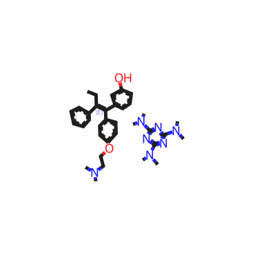 CC/C(=C(/c1ccc(OCCN(C)C)cc1)c1cccc(O)c1)c1ccccc1.CN(C)c1nc(N(C)C)nc(N(C)C)n1